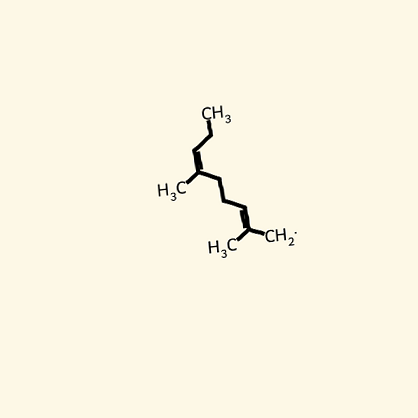 [CH2]C(C)=CCC/C(C)=C\CC